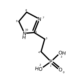 O=P(O)(O)CCC1=NCCN1